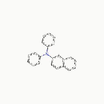 [c]1c(N(c2ccccc2)c2ccccc2)ccc2ccccc12